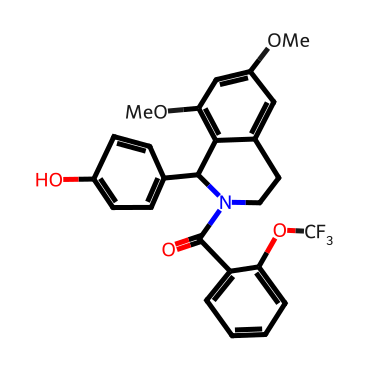 COc1cc2c(c(OC)c1)C(c1ccc(O)cc1)N(C(=O)c1ccccc1OC(F)(F)F)CC2